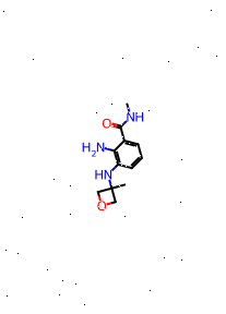 CNC(=O)c1cccc(NC2(C)COC2)c1N